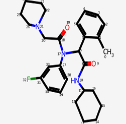 Cc1ccccc1C(C(=O)NC1CCCCC1)N(C(=O)CN1CCCCC1)c1cccc(F)c1